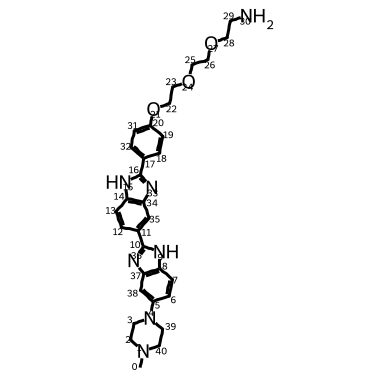 CN1CCN(c2ccc3[nH]c(-c4ccc5[nH]c(-c6ccc(OCCOCCOCCN)cc6)nc5c4)nc3c2)CC1